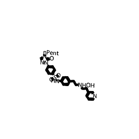 CCCCCn1cnn(-c2ccc(S(=O)(=O)Nc3ccc(CCNCC(O)c4cccnc4)cc3)cc2)c1=O